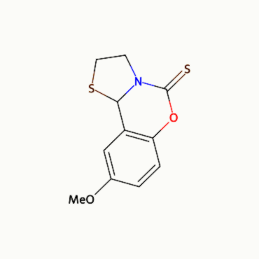 COc1ccc2c(c1)C1SCCN1C(=S)O2